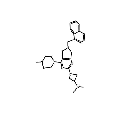 CN1CCN(c2nc(N3CC(N(C)C)C3)nc3c2CN(Cc2cccc4ccccc24)C3)CC1